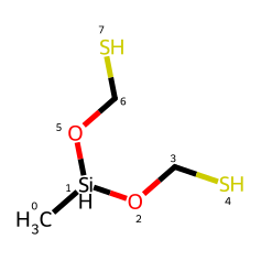 C[SiH](OCS)OCS